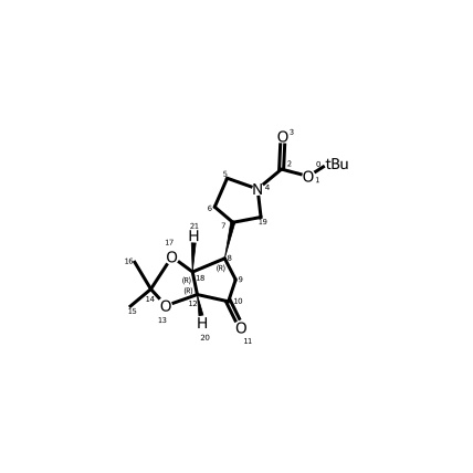 CC(C)(C)OC(=O)N1CCC([C@H]2CC(=O)[C@@H]3OC(C)(C)O[C@H]23)C1